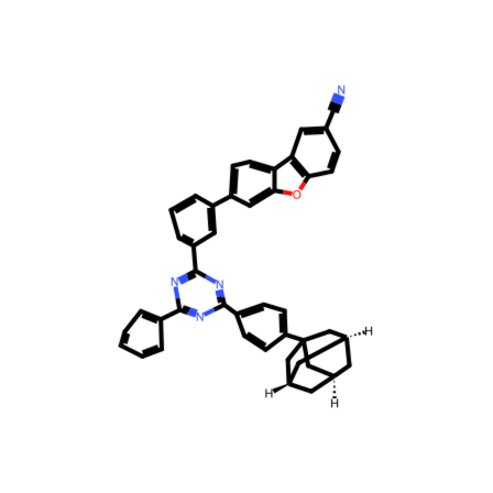 N#Cc1ccc2oc3cc(-c4cccc(-c5nc(-c6ccccc6)nc(-c6ccc(C78C[C@H]9C[C@H](C7)C[C@@H](C8)C9)cc6)n5)c4)ccc3c2c1